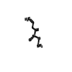 C=CCN[Si](=O)O[SiH3]